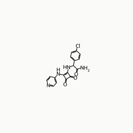 NC(=O)C(Nc1c(Nc2ccncc2)c(=O)c1=O)c1ccc(Cl)cc1